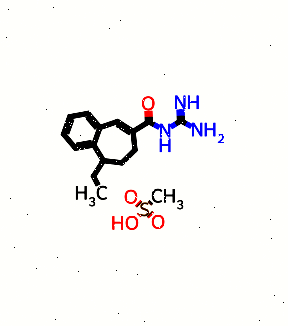 CCC1CCC(C(=O)NC(=N)N)=Cc2ccccc21.CS(=O)(=O)O